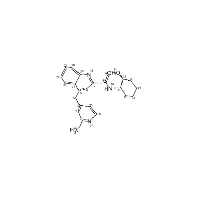 Cc1cc(Cc2cc(C(=O)N[C@H]3CCCC[C@@H]3O)nc3ccccc23)ccn1